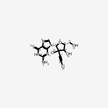 Nc1nc2c(ncn2[C@@H]2O[C@H](CO)C(O)C2(Cl)C#CCl)c(=S)[nH]1